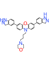 c1cc2c(cc1-c1ccc3[nH]ncc3c1)Oc1cc(-c3ccc4[nH]ncc4c3)ccc1N2CCCCN1CCOCC1